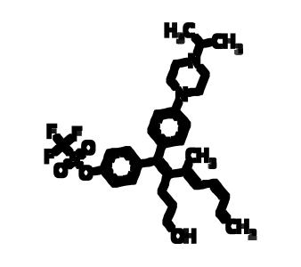 C=C\C=C/C=C(C)/C(CCCO)=C(/c1ccc(OS(=O)(=O)C(F)(F)F)cc1)c1ccc(N2CCN(C(C)C)CC2)cc1